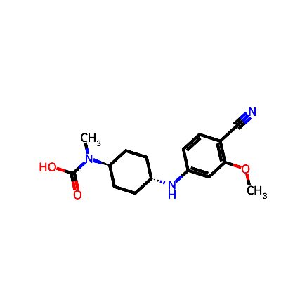 COc1cc(N[C@H]2CC[C@H](N(C)C(=O)O)CC2)ccc1C#N